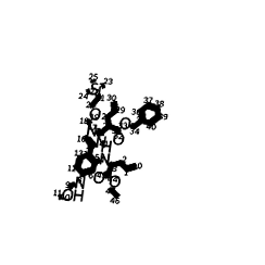 C=CCC(Nc1cc(NCOC)ccc1-c1cn(COCC[Si](C)(C)C)c(C(CC=C)C(=O)OCc2ccccc2)n1)C(=O)OCC